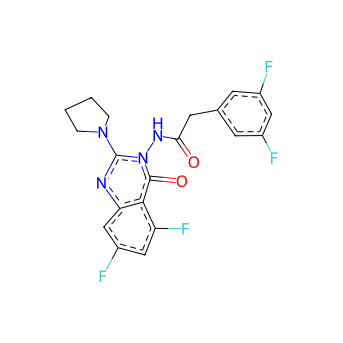 O=C(Cc1cc(F)cc(F)c1)Nn1c(N2CCCC2)nc2cc(F)cc(F)c2c1=O